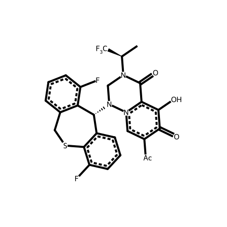 CC(=O)c1cn2c(c(O)c1=O)C(=O)N([C@H](C)C(F)(F)F)CN2[C@@H]1c2cccc(F)c2SCc2cccc(F)c21